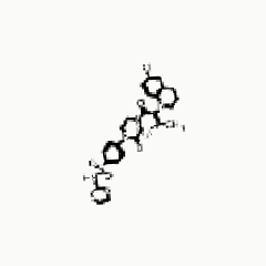 CC(C)C(C(=O)N1CCN(c2ccc(S(=O)(=O)Nc3nccs3)cc2)C(=O)C1)N1CCCc2cc(Cl)ccc21